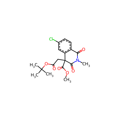 COC(=O)C1(CC(=O)OC(C)(C)C)C(=O)N(C)C(=O)c2ccc(Cl)cc21